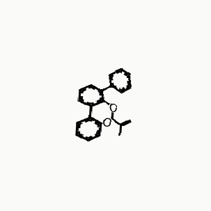 C=C(C)C(=O)Oc1c(-c2ccccc2)cccc1-c1ccccc1